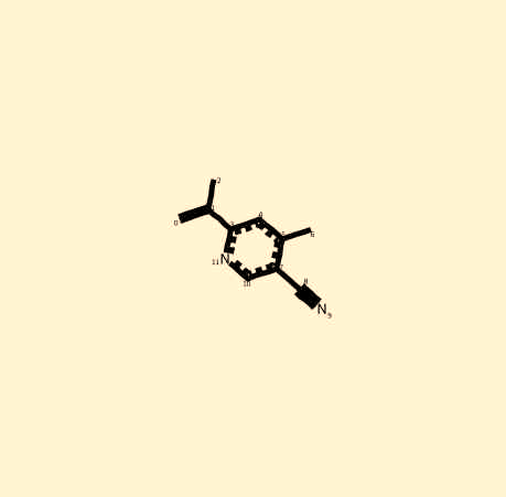 C=C(C)c1cc(C)c(C#N)cn1